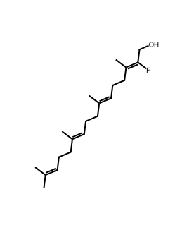 CC(C)=CCC/C(C)=C/CC/C(C)=C/CC/C(C)=C(\F)CO